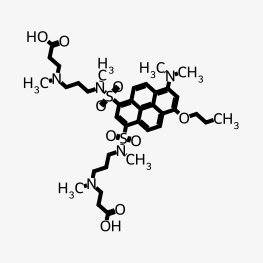 CCCOc1cc(N(C)C)c2ccc3c(S(=O)(=O)N(C)CCCN(C)CCC(=O)O)cc(S(=O)(=O)N(C)CCCN(C)CCC(=O)O)c4ccc1c2c43